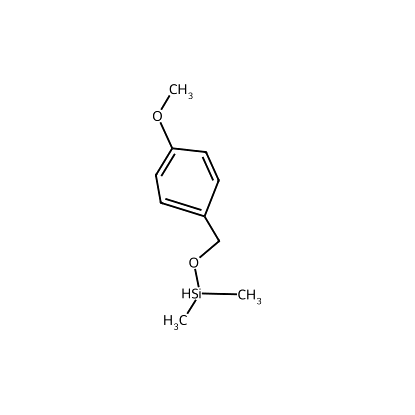 COc1ccc(CO[SiH](C)C)cc1